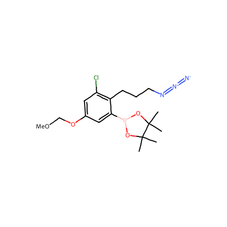 COCOc1cc(Cl)c(CCCN=[N+]=[N-])c(B2OC(C)(C)C(C)(C)O2)c1